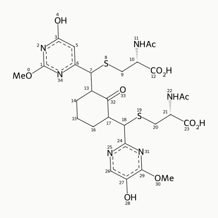 COc1nc(O)cc(C(SC[C@H](NC(C)=O)C(=O)O)C2CCCC(C(SC[C@H](NC(C)=O)C(=O)O)c3ncc(O)c(OC)n3)C2=O)n1